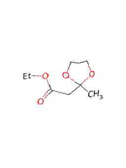 CCOC(=O)CC1(C)OCCO1